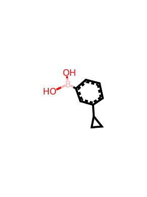 OB(O)c1cccc(C2CC2)c1